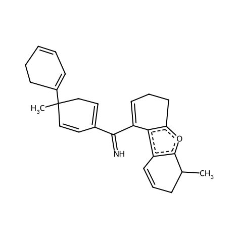 CC1CC=Cc2c1oc1c2C(C(=N)C2=CCC(C)(C3=CC=CCC3)C=C2)=CCC1